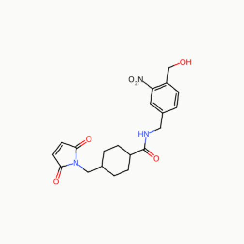 O=C(NCc1ccc(CO)c([N+](=O)[O-])c1)C1CCC(CN2C(=O)C=CC2=O)CC1